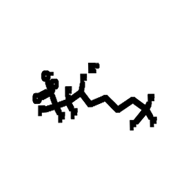 O=S(=O)([O-])C(F)(F)C(F)(F)C(F)CCCCC(F)(F)F.[K+]